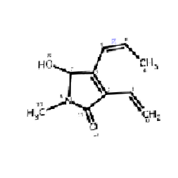 C=CC1=C(/C=C\C)C(O)N(C)C1=O